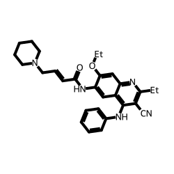 CCOc1cc2nc(CC)c(C#N)c(Nc3ccccc3)c2cc1NC(=O)/C=C/CN1CCCCC1